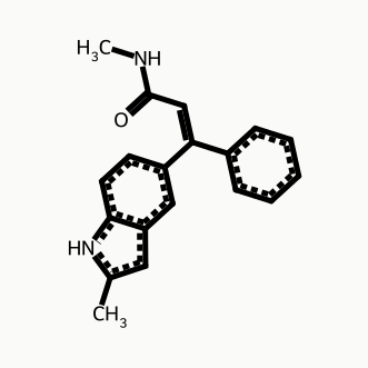 CNC(=O)/C=C(/c1ccccc1)c1ccc2[nH]c(C)cc2c1